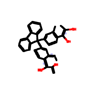 C=C(O)/C(O)=c1/ccc(C2(c3ccc(/C(O)=C(\C)O)c(C)c3)c3ccccc3-c3ccccc32)c/c1=C/C